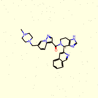 CN1CCN(Cc2ccc3c(C(=O)N4CCc5[nH]cnc5[C@H]4c4cc5ccccc5cn4)cnn3c2)CC1